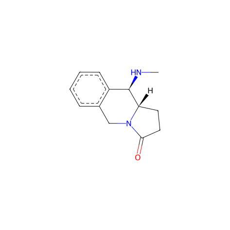 CN[C@@H]1c2ccccc2CN2C(=O)CC[C@@H]12